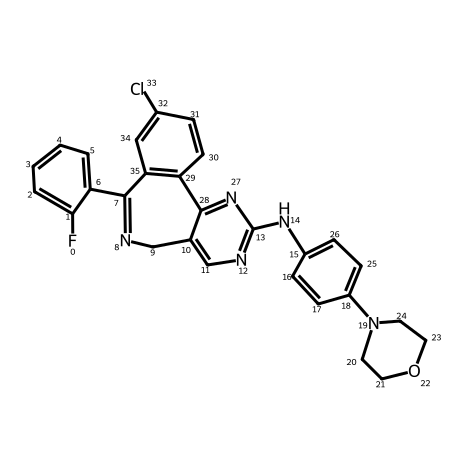 Fc1ccccc1C1=NCc2cnc(Nc3ccc(N4CCOCC4)cc3)nc2-c2ccc(Cl)cc21